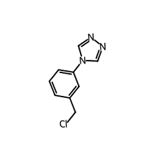 ClCc1cccc(-n2cnnc2)c1